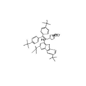 CC(C)(C)c1ccc([C](c2ccc(C(C)(C)C)cc2)=[Hf]([C]2=CC=CC2)[c]2cc(C(C)(C)C)cc3c2Cc2ccc(C(C)(C)C)cc2-3)cc1.Cl.Cl